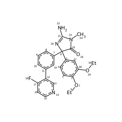 CCOc1ccc(C2(c3cccc(-c4cnccc4F)c3)N=C(N)N(C)C2=O)cc1OCC